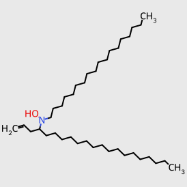 C=CCC(CCCCCCCCCCCCCCCCC)N(O)CCCCCCCCCCCCCCCCCC